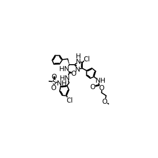 COCCOC(=O)Nc1ccc(-c2nc([C@H](Cc3ccccc3)NC(=O)NCc3cc(Cl)ccc3NS(C)(=O)=O)[nH]c2Cl)cc1